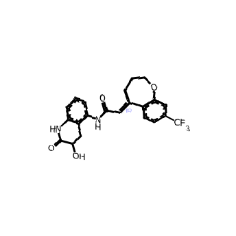 O=C(/C=C1\CCCOc2cc(C(F)(F)F)ccc21)Nc1cccc2c1CC(O)C(=O)N2